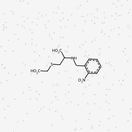 O=C(O)CSCC(NCc1ccccc1[N+](=O)[O-])C(=O)O